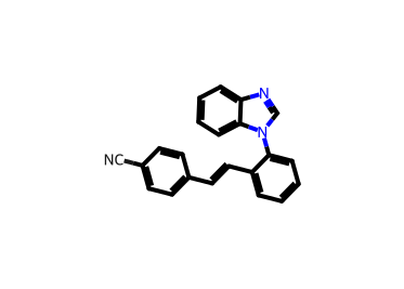 N#Cc1ccc(C=Cc2ccccc2-n2cnc3ccccc32)cc1